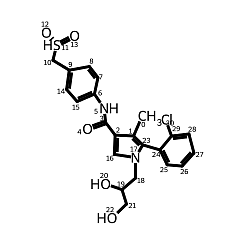 Cc1c(C(=O)Nc2ccc(C[SH](=O)=O)cc2)cn(CC(O)CO)c1-c1ccccc1Cl